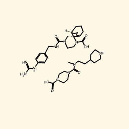 CN(CCC1CCNCC1)C(=O)N1CCN(C(=O)O)CC1.N=C(N)Nc1ccc(CNC(=O)N2CCN(C(=O)O)[C@]3(C2)C2CCC[C@H]3CCC2)cc1